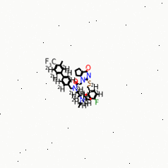 [2H]c1c([2H])c(CSc2nc(=O)c3c(n2CC(=O)N(Cc2c([2H])c([2H])c(-c4c([2H])c([2H])c(C(F)(F)F)c(C)c4[2H])c([2H])c2[2H])C([2H])([2H])C([2H])([2H])N(C([2H])([2H])C)C([2H])([2H])C)CCC3)c([2H])c([2H])c1F